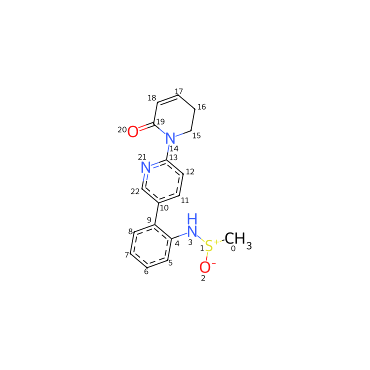 C[S+]([O-])Nc1ccccc1-c1ccc(N2CCC=CC2=O)nc1